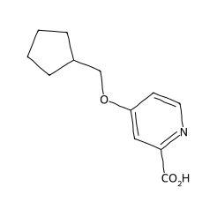 O=C(O)c1cc(OCC2CCCC2)ccn1